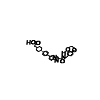 O=C(O)C[C@H]1CC[C@H](c2ccc(-c3ccc4nc(C(=O)NCc5ccc6c(c5)OCCCO6)cn4c3)cc2)CC1